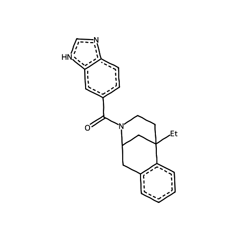 CCC12CCN(C(=O)c3ccc4nc[nH]c4c3)C(Cc3ccccc31)C2